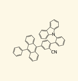 N#Cc1cc(-c2c3ccccc3c(-c3ccccc3)c3ccccc23)ccc1-c1ccccc1-n1c2ccccc2c2ccccc21